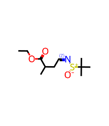 CCOC(=O)C(C)C/C=N\[S+]([O-])C(C)(C)C